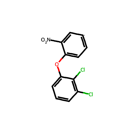 O=[N+]([O-])c1c[c]ccc1Oc1cccc(Cl)c1Cl